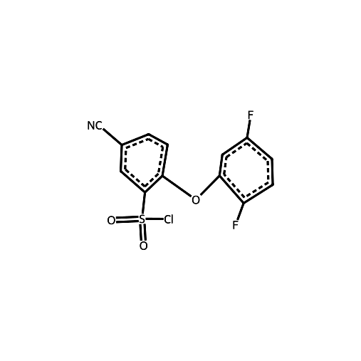 N#Cc1ccc(Oc2cc(F)ccc2F)c(S(=O)(=O)Cl)c1